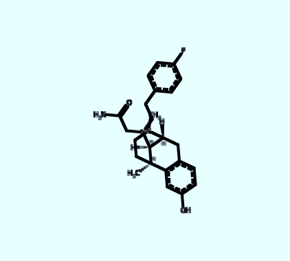 CN1CC[C@]2(C)c3cc(O)ccc3C[C@@H]1[C@@H]2N(CCc1ccc(F)cc1)CC(N)=O